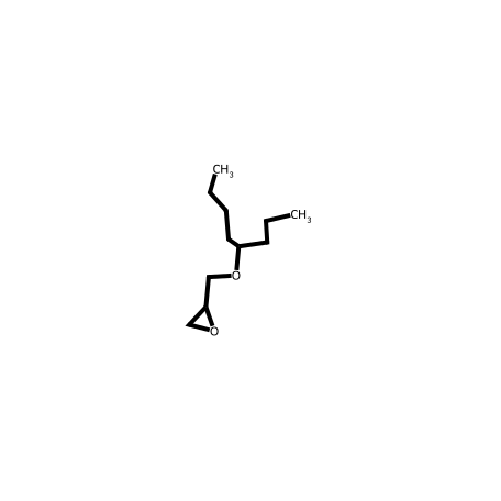 CCCCC(CCC)OCC1CO1